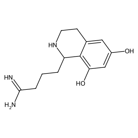 N=C(N)CCCC1NCCc2cc(O)cc(O)c21